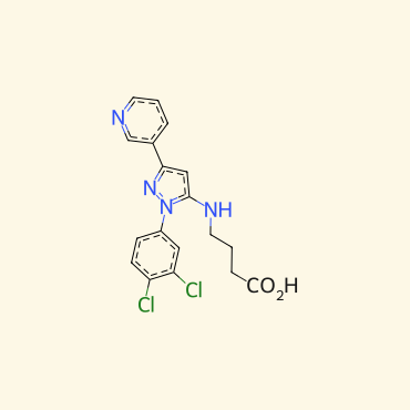 O=C(O)CCCNc1cc(-c2cccnc2)nn1-c1ccc(Cl)c(Cl)c1